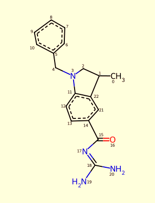 CC1CN(Cc2ccccc2)c2ccc(C(=O)N=C(N)N)cc21